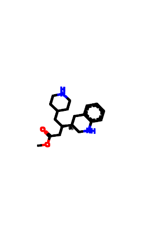 COC(=O)CC(CC1CCNCC1)[C@@H]1CNc2ccccc2C1